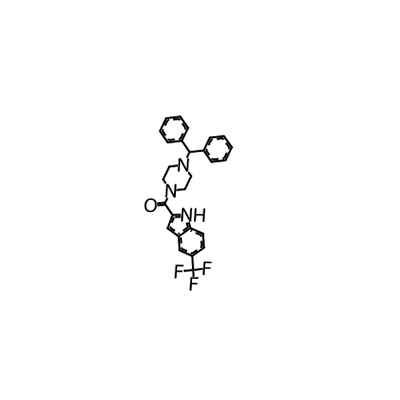 O=C(c1cc2cc(C(F)(F)F)ccc2[nH]1)N1CCN(C(c2ccccc2)c2ccccc2)CC1